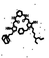 C=CCC(CC)CCCCN1C(=N)N(CC(=O)Nc2cccc(NC(=O)CN3CCN(CCC45CC6CC(CC(C6)C4)C5)C3=N)c2)C[C@@H]1Cc1ccccc1